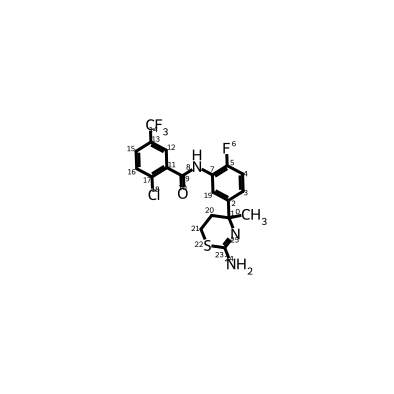 CC1(c2ccc(F)c(NC(=O)c3cc(C(F)(F)F)ccc3Cl)c2)CCSC(N)=N1